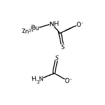 CCC(C)NC([O-])=S.NC([O-])=S.[Zn+2]